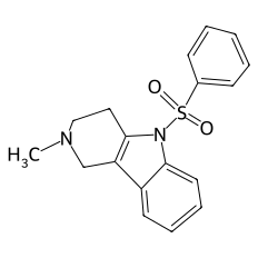 CN1CCc2c(c3ccccc3n2S(=O)(=O)c2ccccc2)C1